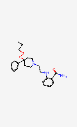 CCCOOC1(c2ccccc2)CCN(CCNc2ccccc2C(N)=O)CC1